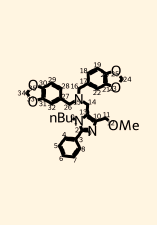 CCCCn1c(-c2ccccc2)nc(COC)c1CN(Cc1ccc2c(c1)OCO2)Cc1ccc2c(c1)OCO2